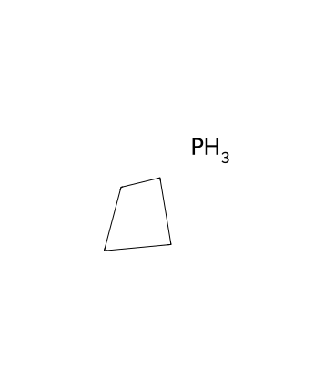 C1CCC1.P